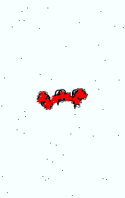 O=C(OC(=O)c1ccc(C#Cc2ccccc2NS(=O)(=O)c2cccc3ccccc23)cc1F)c1ccc(C#Cc2cc(F)ccc2NS(=O)(=O)c2cccc3ccccc23)cc1